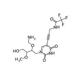 COC(CO)C(Cn1cc(C#CCNC(=O)C(F)(F)F)c(=O)[nH]c1=O)OCN